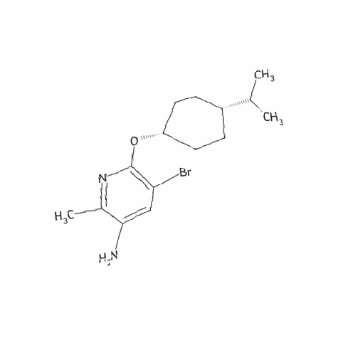 Cc1nc(O[C@H]2CC[C@@H](C(C)C)CC2)c(Br)cc1N